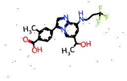 Cc1cc(-c2cnc3c(NCCC(F)(F)F)cc(C(C)O)cn23)ccc1C(=O)O